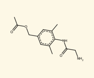 CC(=O)OCc1cc(C)c(NC(=O)CN)c(C)c1